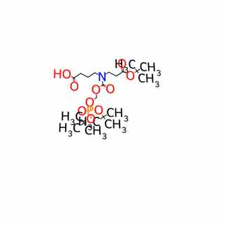 CC(C)(C)OC(=O)CCN(CCCC(=O)O)C(=O)OCOP(=O)(OC(C)(C)C)OC(C)(C)C